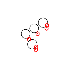 O=C1CCCCCCCCCCCCCC1.O=C1CCCCCCCCCCCCCC1.O=C1CCCCCCCCCCCCCCO1.O=C1CCCCCCCCCCCCCCO1